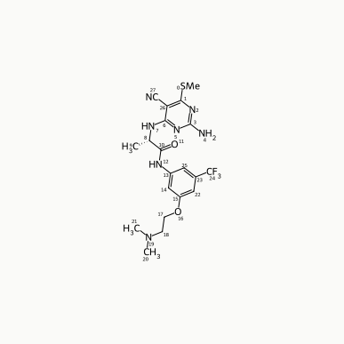 CSc1nc(N)nc(N[C@@H](C)C(=O)Nc2cc(OCCN(C)C)cc(C(F)(F)F)c2)c1C#N